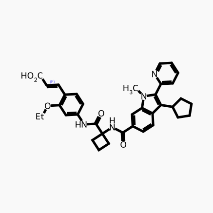 CCOc1cc(NC(=O)C2(NC(=O)c3ccc4c(C5CCCC5)c(-c5ccccn5)n(C)c4c3)CCC2)ccc1/C=C/C(=O)O